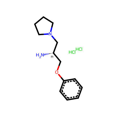 Cl.Cl.N[C@@H](COc1ccccc1)CN1CCCC1